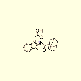 O=C(O)Cn1/c(=N/C(=O)C23CC4CC(CC(C4)C2)C3)sc2ccccc21